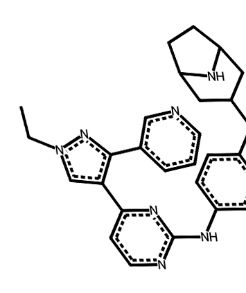 CCn1cc(-c2ccnc(Nc3ccc(OC4CC5CCC(C4)N5)cc3)n2)c(-c2cccnc2)n1